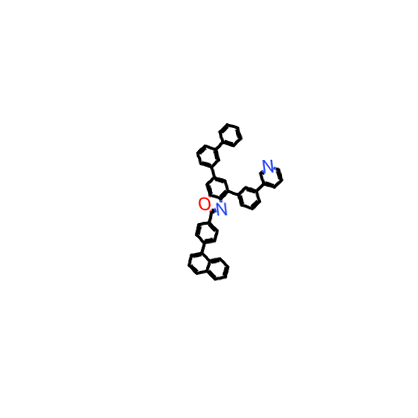 c1ccc(-c2cccc(-c3cc(-c4cccc(-c5cccnc5)c4)c4nc(-c5ccc(-c6cccc7ccccc67)cc5)oc4c3)c2)cc1